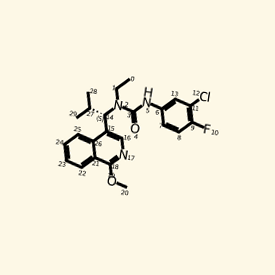 CCN(C(=O)Nc1ccc(F)c(Cl)c1)[C@H](c1cnc(OC)c2ccccc12)C(C)C